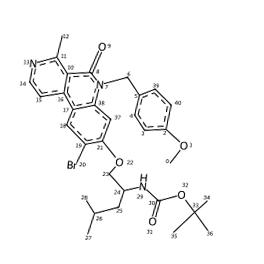 COc1ccc(Cn2c(=O)c3c(C)nccc3c3cc(Br)c(OCC(CC(C)C)NC(=O)OC(C)(C)C)cc32)cc1